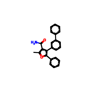 Cc1oc(-c2ccccc2)c(-c2cccc(-c3ccccc3)c2)c1C(N)=O